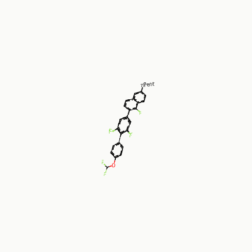 CCCCCc1ccc2c(F)c(-c3cc(F)c(-c4ccc(OC(F)F)cc4)c(F)c3)ccc2c1